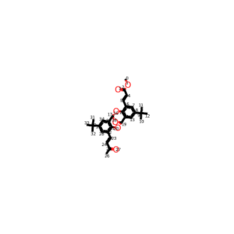 COC(=O)/C=C/c1cc(C(C)(C)C)cc2c1OC1OC2Oc2c(/C=C/C(C)=O)cc(C(C)(C)C)cc21